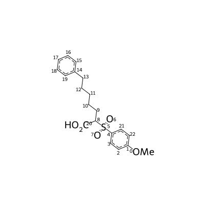 COc1ccc(S(=O)(=O)C(CCCCCc2ccccc2)C(=O)O)cc1